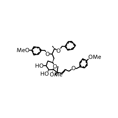 COc1ccc(COC/C=C/C(C)(C)[C@]2(OC)O[C@H](CC(OCc3ccc(OC)cc3)[C@@H](C)OCc3ccccc3)CC(O)[C@@H]2O)cc1